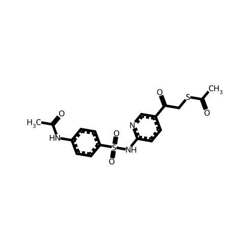 CC(=O)Nc1ccc(S(=O)(=O)Nc2ccc(C(=O)CSC(C)=O)cn2)cc1